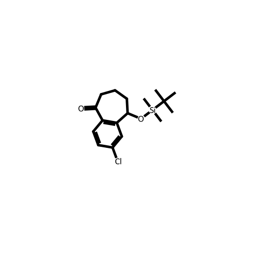 CC(C)(C)[Si](C)(C)OC1CCCC(=O)c2ccc(Cl)cc21